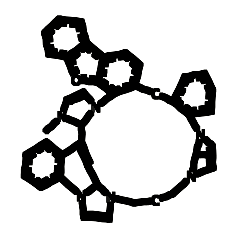 CC1N2C=CN1c1ccccc1Cc1ccc3c(oc4ccccc43)c1N1C=CN(C)C1C1=CC3N(C=CN3c3ccccc31)CCC2